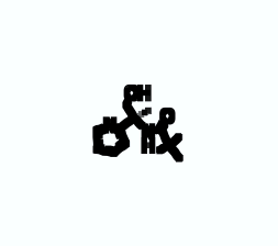 CC(C)(C)C(=O)N[C@](C)(CO)c1ccccn1